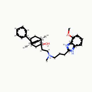 COc1cccc2[nH]c(CCCN(C)CC[C@]3(O)C[C@H]4CC[C@@H]3C=C4c3ccccc3)nc12